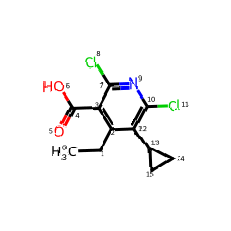 CCc1c(C(=O)O)c(Cl)nc(Cl)c1C1CC1